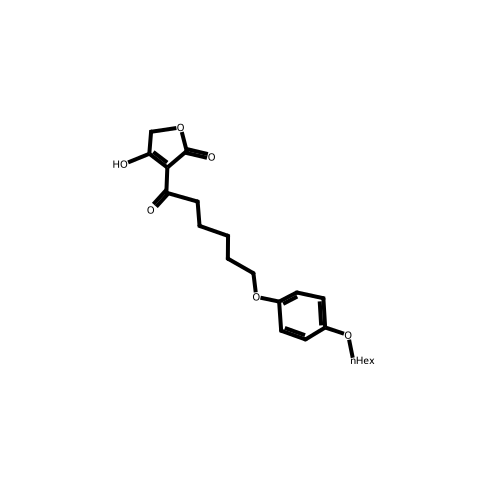 CCCCCCOc1ccc(OCCCCCC(=O)C2=C(O)COC2=O)cc1